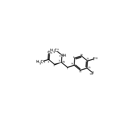 CN[C@H](CC(C)=O)Cc1ccc(F)c(F)c1